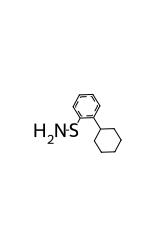 NSc1ccccc1C1CCCCC1